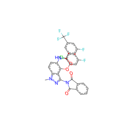 Cn1nc(N2C(=O)c3ccccc3C2=O)c2c(Oc3cc(F)ccc3Cl)c(NC(=O)c3cc(F)cc(C(F)(F)F)c3)ccc21